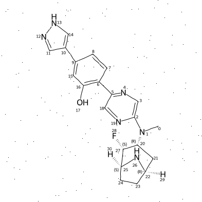 CN(c1cnc(-c2ccc(-c3cn[nH]c3)cc2O)cn1)[C@@H]1C[C@H]2CC[C@H](N2)[C@@H]1F